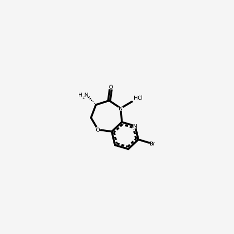 CN1C(=O)[C@@H](N)COc2ccc(Br)nc21.Cl